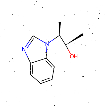 C[C@@H](O)[C@H](C)n1cnc2ccccc21